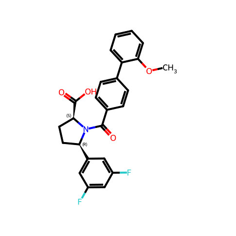 COc1ccccc1-c1ccc(C(=O)N2[C@@H](c3cc(F)cc(F)c3)CC[C@H]2C(=O)O)cc1